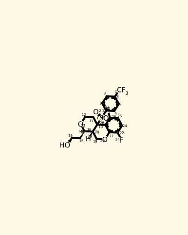 O=S(=O)(c1ccc(C(F)(F)F)cc1)C12CCO[C@H](CCO)[C@H]1COc1c(F)ccc(F)c12